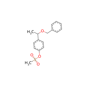 CC(OCc1ccccc1)c1ccc(OS(C)(=O)=O)cc1